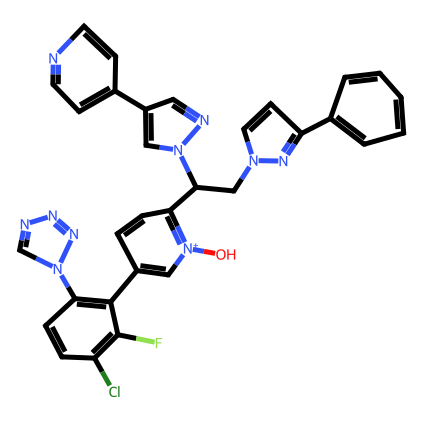 O[n+]1cc(-c2c(-n3cnnn3)ccc(Cl)c2F)ccc1C(Cn1ccc(-c2ccccc2)n1)n1cc(-c2ccncc2)cn1